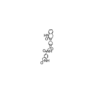 O=C1Cc2cc(C(=O)NCC(=O)N3CCC(N4CCc5ccccc5NC4=O)CC3)ccc2N1